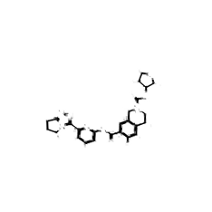 C[C@H]1CCc2nnc(-c3cccc(NC(=O)c4cc5c(cc4F)CCN(C(=O)OC4CCOC4)C5)n3)n21